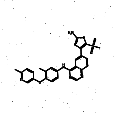 Cc1ccc(Oc2ccc(Nc3ncnc4ccc(-c5nc(N)sc5S(C)(=O)=O)cc34)cc2C)cn1